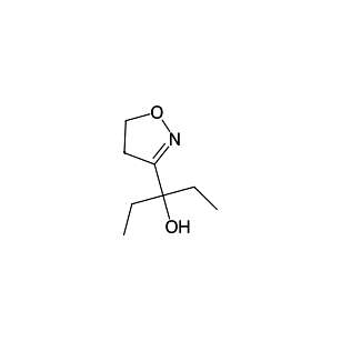 CCC(O)(CC)C1=NOCC1